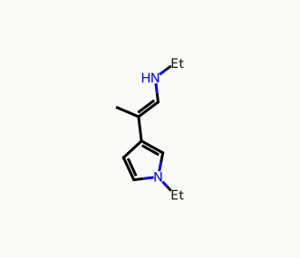 CCN/C=C(\C)c1ccn(CC)c1